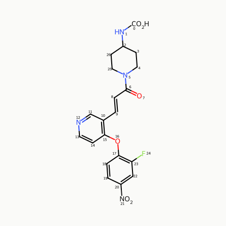 O=C(O)NC1CCN(C(=O)C=Cc2cnccc2Oc2ccc([N+](=O)[O-])cc2F)CC1